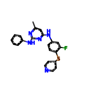 Cc1cc(Nc2ccc(Sc3ccncc3)c(F)c2)nc(Nc2ccccc2)n1